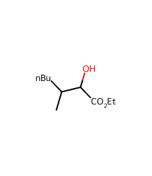 CCCCC(C)C(O)C(=O)OCC